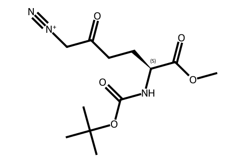 COC(=O)[C@H](CCC(=O)C[N+]#N)NC(=O)OC(C)(C)C